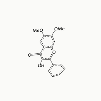 COc1cc2oc(-c3ccccc3)c(O)c(=O)c2cc1OC